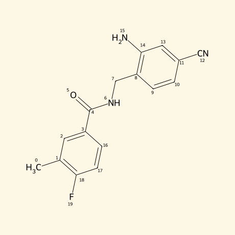 Cc1cc(C(=O)NCc2ccc(C#N)cc2N)ccc1F